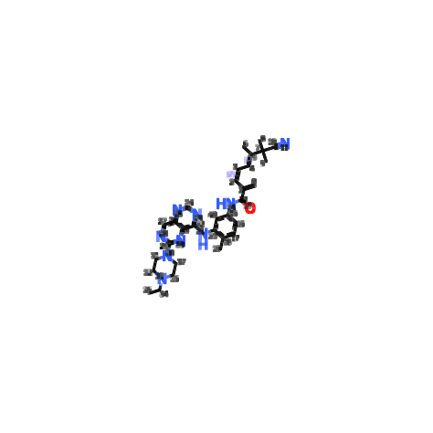 C=C(/C=C\C=C(/C)C(C)(C)C#N)C(=O)Nc1ccc(C)c(Nc2ncnc3cnc(N4CCN(CC)CC4)nc23)c1